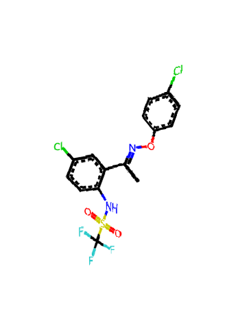 C/C(=N\Oc1ccc(Cl)cc1)c1cc(Cl)ccc1NS(=O)(=O)C(F)(F)F